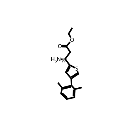 CCOC(=O)C[C@H](N)c1cc(-c2c(C)cccc2C)cs1